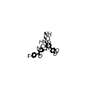 CNCC(=O)Nc1ncc(-c2ccc3c(c2)OCO3)n(Cc2cncc(C(=O)c3ccc(F)cc3)c2)c1=O